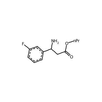 CCCOC(=O)CC(N)c1cccc(F)c1